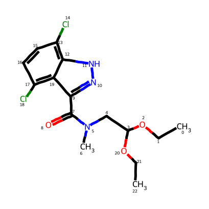 CCOC(CN(C)C(=O)c1n[nH]c2c(Cl)ccc(Cl)c12)OCC